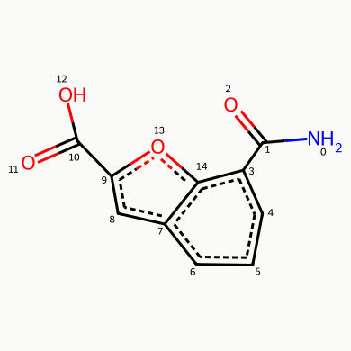 NC(=O)c1cccc2cc(C(=O)O)oc12